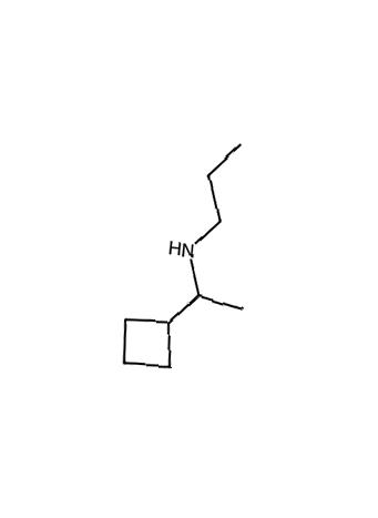 CCCNC(C)C1CCC1